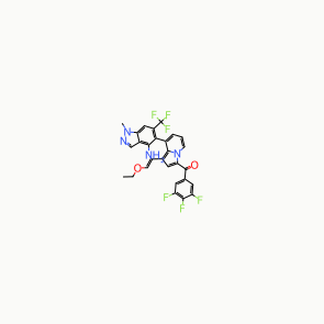 CCO/C=C/c1cc(C(=O)c2cc(F)c(F)c(F)c2)n2cccc(-c3c(C(F)(F)F)cc4c(cnn4C)c3N)c12